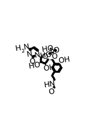 Nc1ccn([C@@H]2O[C@H](C(OP(=O)(O)O)c3cc(CCNC=O)ccc3O)[C@@H](O)[C@H]2O)c(=O)n1